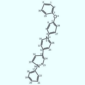 c1ccc(Oc2ccc(-[n+]3ccc(-c4cc[n+](-c5ccccc5)cc4)cc3)cc2)cc1